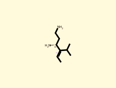 C/C=C(\C(C)C)[C@H](N)CCN